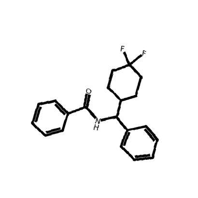 O=C(NC(c1ccccc1)C1CCC(F)(F)CC1)c1ccccc1